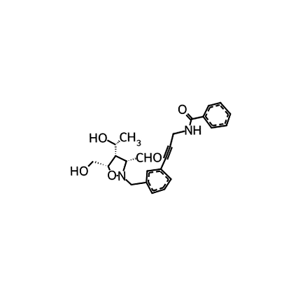 C[C@@H](O)[C@H]1[C@@H](CO)ON(Cc2cccc(C#CCNC(=O)c3ccccc3)c2)[C@H]1C=O